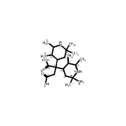 CC1NC(C)(C)CC(C(CC(=O)O)(C(=O)O)C2CC(C)(C)NC(C)C2C)C1C